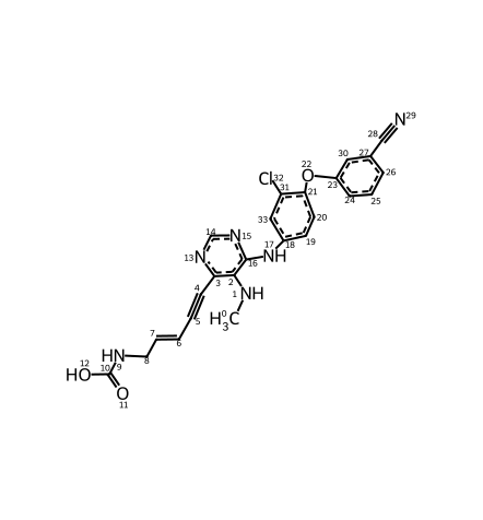 CNc1c(C#CC=CCNC(=O)O)ncnc1Nc1ccc(Oc2cccc(C#N)c2)c(Cl)c1